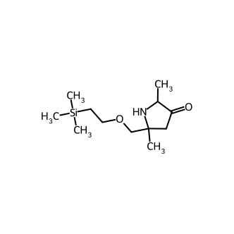 CC1NC(C)(COCC[Si](C)(C)C)CC1=O